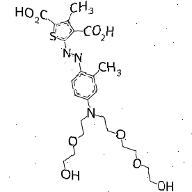 Cc1cc(N(CCOCCO)CCOCCOCCO)ccc1/N=N/c1sc(C(=O)O)c(C)c1C(=O)O